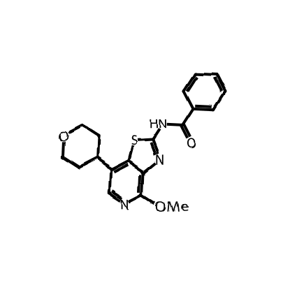 COc1ncc(C2CCOCC2)c2sc(NC(=O)c3ccccc3)nc12